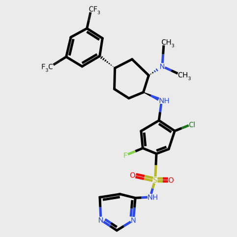 CN(C)[C@H]1C[C@@H](c2cc(C(F)(F)F)cc(C(F)(F)F)c2)CC[C@@H]1Nc1cc(F)c(S(=O)(=O)Nc2ccncn2)cc1Cl